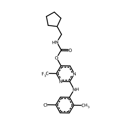 Cc1ccc(Cl)cc1Nc1ncc(OC(=O)NCC2CCCC2)c(C(F)(F)F)n1